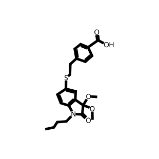 CCCCN1C(=O)C(OC)(OC)c2cc(SCCc3ccc(C(=O)O)cc3)ccc21